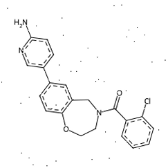 Nc1ccc(-c2ccc3c(c2)CN(C(=O)c2ccccc2Cl)CCO3)cn1